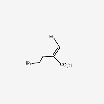 CCC=C(CCC(C)C)C(=O)O